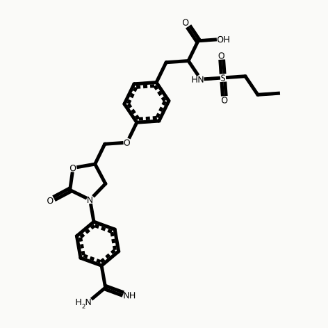 CCCS(=O)(=O)NC(Cc1ccc(OCC2CN(c3ccc(C(=N)N)cc3)C(=O)O2)cc1)C(=O)O